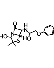 CC1(C)S[C@@H]2C(NC(=O)COc3ccccc3)C(=O)N2C1O